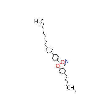 CCCCCCCCCC1CCC(c2ccc(C(=O)Oc3ccc(CCCCC)cc3C#N)cc2)CC1